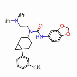 CC(C)N(CCN(C(=O)Nc1ccc2c(c1)OCO2)[C@@H]1CC[C@]2(c3cccc(C#N)c3)CC2C1)C(C)C